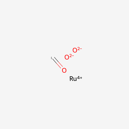 [C]=O.[O-2].[O-2].[Ru+4]